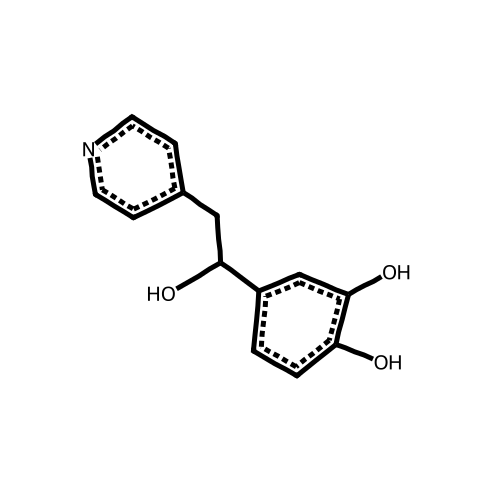 Oc1ccc(C(O)Cc2ccncc2)cc1O